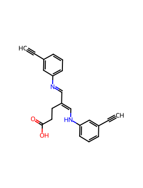 C#Cc1cccc(/N=C/C(=C/Nc2cccc(C#C)c2)CCC(=O)O)c1